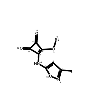 CCOc1c(Nc2cc(C)no2)c(=O)c1=O